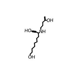 C=C(O)CCCNC(C#CO)CCCCCCCCO